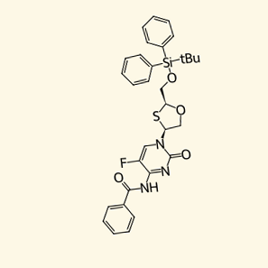 CC(C)(C)[Si](OC[C@H]1OC[C@@H](n2cc(F)c(NC(=O)c3ccccc3)nc2=O)S1)(c1ccccc1)c1ccccc1